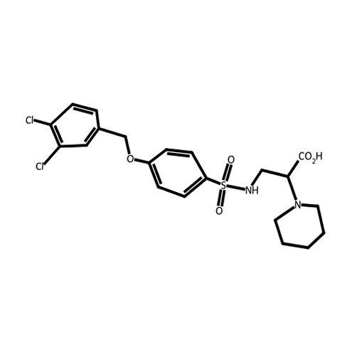 O=C(O)C(CNS(=O)(=O)c1ccc(OCc2ccc(Cl)c(Cl)c2)cc1)N1CCCCC1